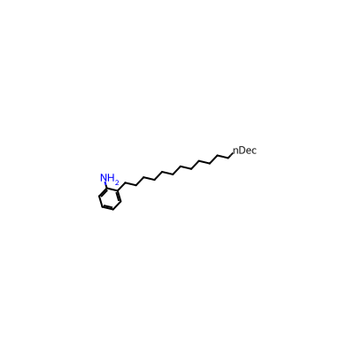 CCCCCCCCCCCCCCCCCCCCCCc1ccccc1N